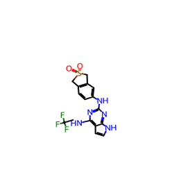 O=S1(=O)Cc2ccc(Nc3nc(NCC(F)(F)F)c4cc[nH]c4n3)cc2C1